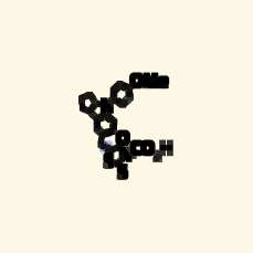 COc1ccc(N2c3ccc(/C=C4/SC(=S)N(CC(=O)O)C4=O)cc3C3CCCC32)cc1